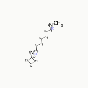 C/N=C/CCCCC/C=N/C1CCC1